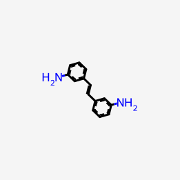 Nc1cccc(/C=C/c2cccc(N)c2)c1